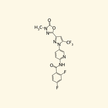 Cn1nc(-c2cc(C(F)(F)F)n(-c3ccc(NC(=O)c4ccc(F)cc4F)nc3)n2)oc1=O